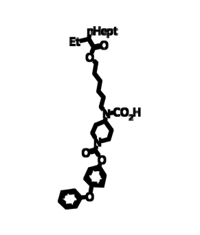 CCCCCCCC(CC)C(=O)OCCCCCCN(C(=O)O)C1CCN(C(=O)Oc2ccc(Oc3ccccc3)cc2)CC1